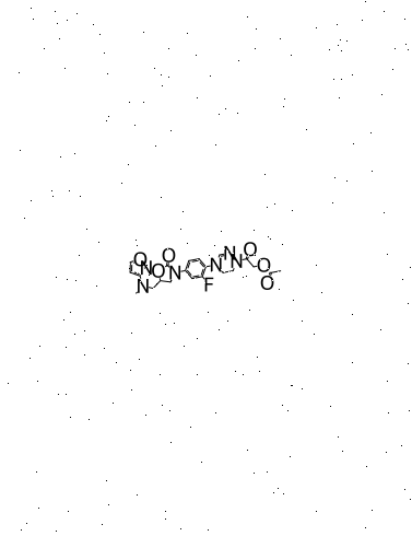 CC(=O)OCC(=O)N1CCN(c2ccc(N3CC(CN(C)c4ccon4)OC3=O)cc2F)C=N1